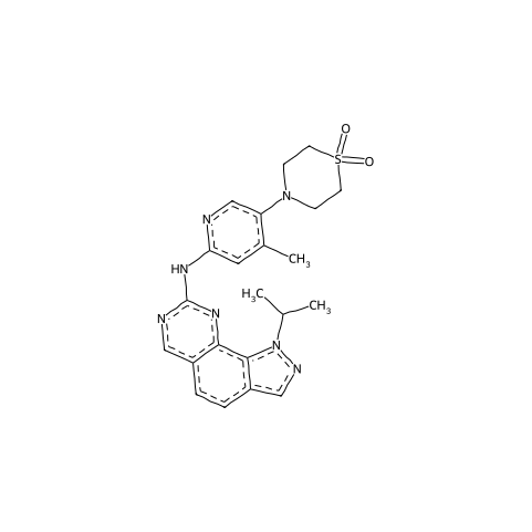 Cc1cc(Nc2ncc3ccc4cnn(C(C)C)c4c3n2)ncc1N1CCS(=O)(=O)CC1